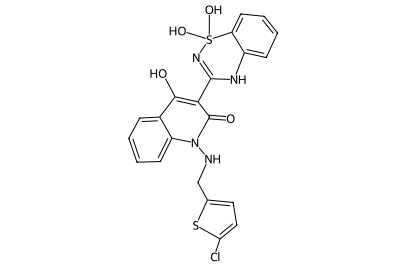 O=c1c(C2=NS(O)(O)c3ccccc3N2)c(O)c2ccccc2n1NCc1ccc(Cl)s1